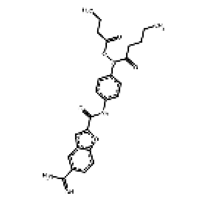 CCCCC(=O)N(OC(=O)CCC)c1ccc(NC(=O)c2cc3cc(C(=N)N)ccc3o2)cc1